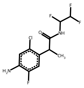 CC(C(=O)NC(F)C(F)F)c1cc(F)c(N)cc1Cl